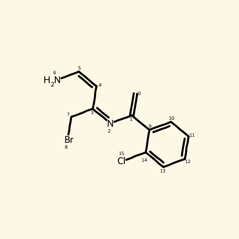 C=C(/N=C(\C=C/N)CBr)c1ccccc1Cl